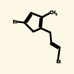 CCC=CCC1=C(C)C=C(CC)C1